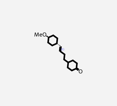 CO[C@H]1CC[C@H](/C=C/CCC2CCC(=O)CC2)CC1